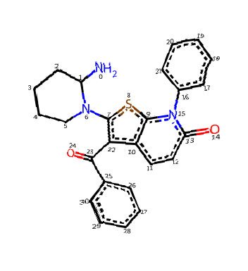 NC1CCCCN1c1sc2c(ccc(=O)n2-c2ccccc2)c1C(=O)c1ccccc1